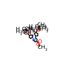 CCOC(=O)C1CCN(C2CCC(CO[Si](C)(C)C(C)(C)C)CC2)C(C2CCC(CO[Si](C)(C)C(C)(C)C)CC2)C1